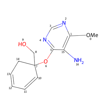 COc1ncnc(OC2(CO)C=CC=CC2)c1N